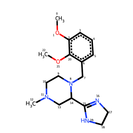 COc1cccc(CN2CCN(C)CC2C2=NCCN2)c1OC